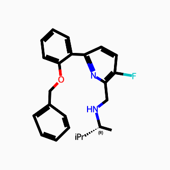 CC(C)[C@@H](C)NCc1nc(-c2ccccc2OCc2ccccc2)ccc1F